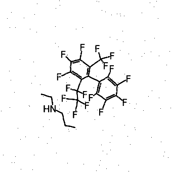 CCCNCC.Fc1c(F)c(F)c(-c2c(C(F)(F)F)c(F)c(F)c(F)c2C(F)(F)C(F)(F)F)c(F)c1F